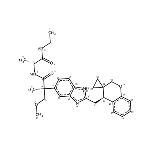 CCNC(=O)[C@@H](C)NC(=O)C(C)(COC)c1ccc2[nH]c(C[C@@H]3c4ccccc4OCC34CC4)nc2c1